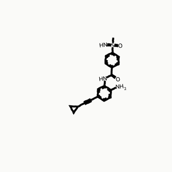 CS(=N)(=O)c1ccc(C(=O)Nc2cc(C#CC3CC3)ccc2N)cc1